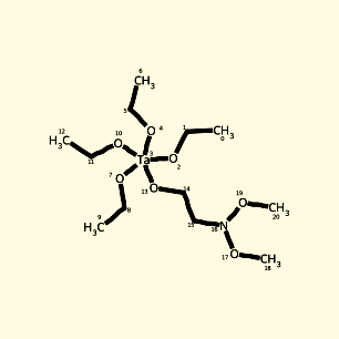 CC[O][Ta]([O]CC)([O]CC)([O]CC)[O]CCN(OC)OC